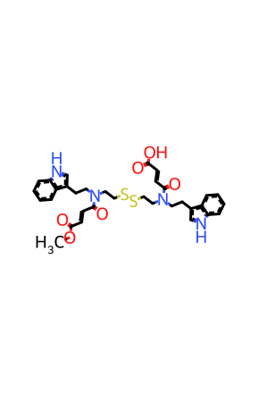 COC(=O)C=CC(=O)N(CCSSCCN(CCc1c[nH]c2ccccc12)C(=O)C=CC(=O)O)CCc1c[nH]c2ccccc12